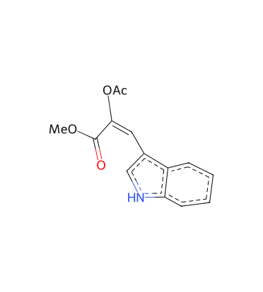 COC(=O)C(=Cc1c[nH]c2ccccc12)OC(C)=O